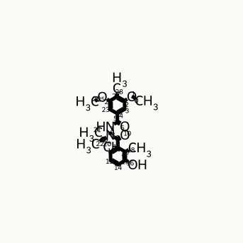 COc1cc(C(=O)NN(C(=O)c2cccc(O)c2C)C(C)(C)C)cc(OC)c1C